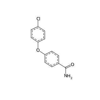 NC(=O)c1ccc(Oc2ccc(Cl)cc2)cc1